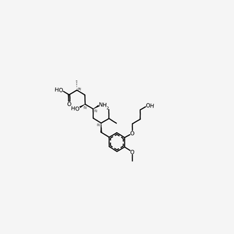 COc1ccc(C[C@@H](C[C@H](N)[C@@H](O)C[C@@H](C)C(=O)O)C(C)C)cc1OCCCO